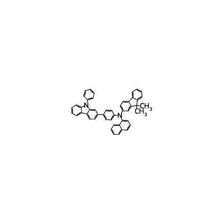 CC1(C)c2ccccc2-c2ccc(N(c3ccc(-c4ccc5c6ccccc6n(-c6ccccc6)c5c4)cc3)c3cccc4ccccc34)cc21